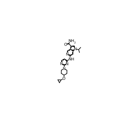 CC(C)n1cc(C(N)=O)c2cnc(Nc3ccnc(N4CCC(OC5CC5)CC4)n3)cc21